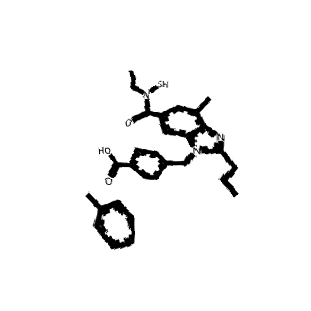 CCCc1nc2c(C)cc(C(=O)N(S)CC)cc2n1Cc1ccc(C(=O)O)cc1.Cc1ccccc1